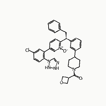 O=C(C1COC1)N1CCC(c2cccc([C@H](Cc3ccccc3)c3ccc(-c4cc(Cl)ccc4N4C=NNN4)c[n+]3[O-])c2)CC1